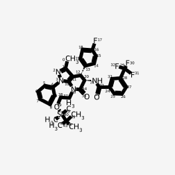 Cc1nn(-c2ccccc2)c2c1[C@H](c1ccc(F)cc1)[C@H](NC(=O)c1cccc(C(F)(F)F)c1)C(=O)N2CCO[Si](C)(C)C(C)(C)C